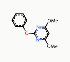 COc1cc(OC)nc(Oc2ccccc2)n1